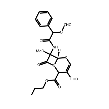 COC1(NC(=O)C(OC=O)c2ccccc2)C(=O)N2C(C(=O)OCCI)C(C=O)=CS[C@H]21